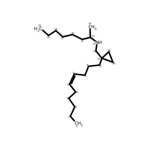 CCCCC/C=C\CCCC1(CNC(C)CCCCCC)CC1